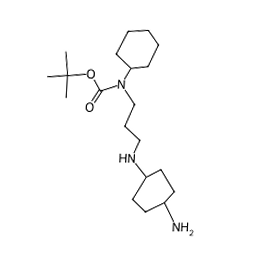 CC(C)(C)OC(=O)N(CCCNC1CCC(N)CC1)C1CCCCC1